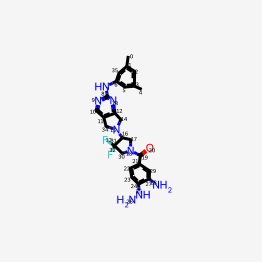 Cc1cc(C)cc(Nc2ncc3c(n2)CN(C2CN(C(=O)c4ccc(NN)c(N)c4)CC2(F)F)C3)c1